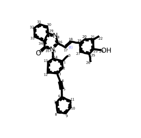 Cc1cc(C#Cc2ccccc2)ccc1-n1c(/C=C/c2cc(C)c(O)c(C)c2)nc2ccccc2c1=O